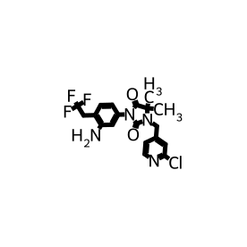 CC1(C)C(=O)N(c2ccc(CC(F)(F)F)c(N)c2)C(=O)N1Cc1ccnc(Cl)c1